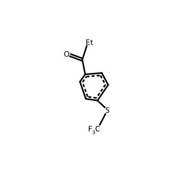 CCC(=O)c1ccc(SC(F)(F)F)cc1